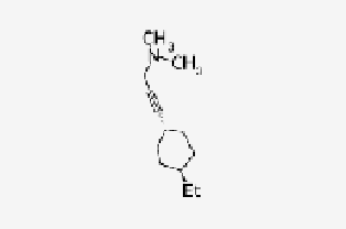 [CH2]C[C@H]1CC[C@H](C#CCN(C)C)CC1